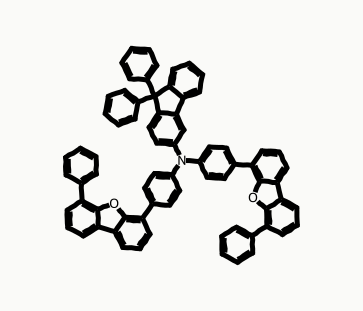 c1ccc(-c2cccc3c2oc2c(-c4ccc(N(c5ccc(-c6cccc7c6oc6c(-c8ccccc8)cccc67)cc5)c5ccc6c(c5)-c5ccccc5C6(c5ccccc5)c5ccccc5)cc4)cccc23)cc1